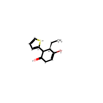 CC[C@H]1C(Br)=CCC(=O)C1c1cccs1